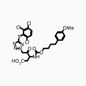 COc1ccc(CCCCOC(=O)NC(CC(=O)O)C(=O)Cn2nnc(Sc3c(Cl)ccc(Cl)c3Cl)n2)cc1